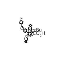 Cc1nc(CN2CCC3(CCC3)CC2)c(-c2ccc(OCCc3ccc(F)cc3)cc2)c(N2CCC3(CCC3)CC2)c1[C@H](OC(C)(C)C)C(=O)O